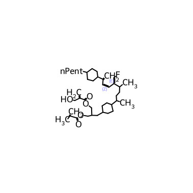 C=C(C)C(=O)OCC(COC(=O)C(=C)CO)CC1CCC(C(C)CCC(C)C(/C=C\C(=C)C2CCC(CCCCC)CC2)=C\F)CC1